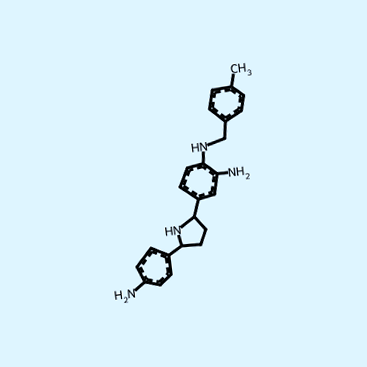 Cc1ccc(CNc2ccc(C3CCC(c4ccc(N)cc4)N3)cc2N)cc1